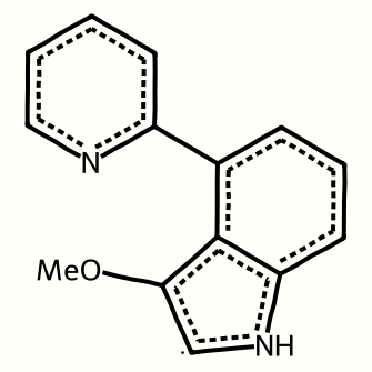 COc1[c][nH]c2cccc(-c3ccccn3)c12